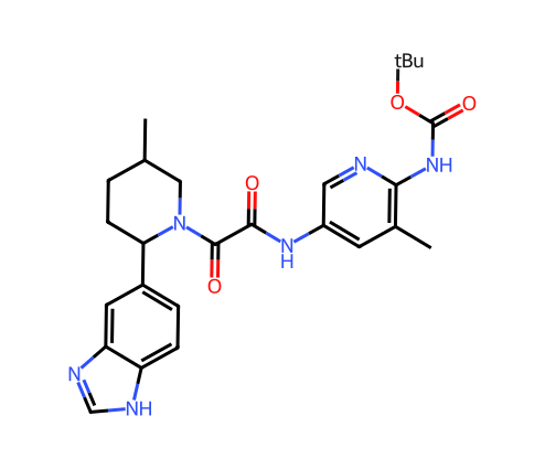 Cc1cc(NC(=O)C(=O)N2CC(C)CCC2c2ccc3[nH]cnc3c2)cnc1NC(=O)OC(C)(C)C